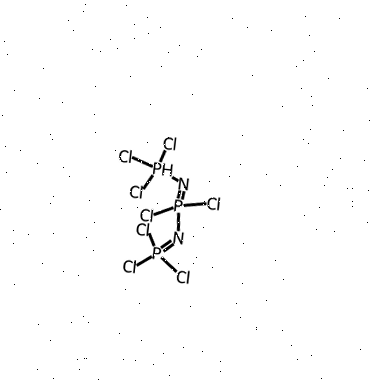 ClP(Cl)(Cl)=NP(Cl)(Cl)=N[PH](Cl)(Cl)Cl